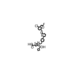 O=C(O)c1cc2c(nc(Cc3ccc(-c4cccc(OCc5ccc(Cl)c6cc(F)oc56)n4)cc3)n2C(O)C2CCC2)s1